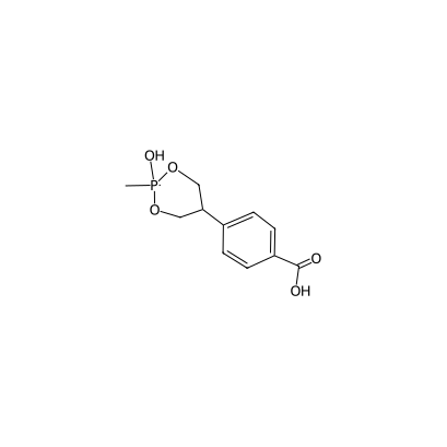 C[P]1(O)OCC(c2ccc(C(=O)O)cc2)CO1